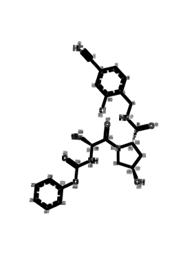 C#Cc1ccc(CNC(=O)[C@@H]2C[C@@H](O)CN2C(=O)[C@@H](NC(=O)Oc2ccccc2)C(C)(C)C)c(Cl)c1